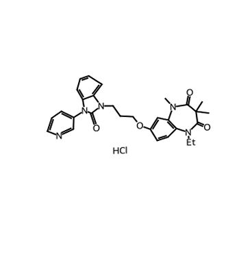 CCN1C(=O)C(C)(C)C(=O)N(C)c2cc(OCCCn3c(=O)n(-c4cccnc4)c4ccccc43)ccc21.Cl